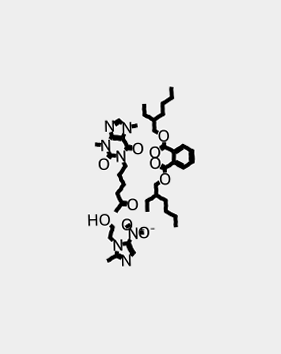 CC(=O)CCCCn1c(=O)c2c(ncn2C)n(C)c1=O.CCCCC(CC)COC(=O)c1ccccc1C(=O)OCC(CC)CCCC.Cc1ncc([N+](=O)[O-])n1CCO